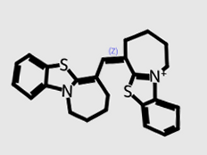 C(/C1=C2Sc3ccccc3N2CCCC1)=C1\CCCC[n+]2c1sc1ccccc12